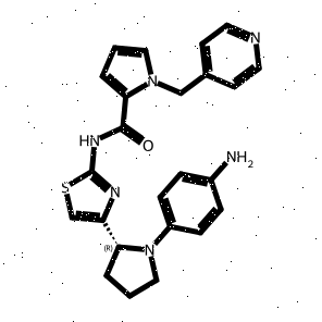 Nc1ccc(N2CCC[C@@H]2c2csc(NC(=O)c3cccn3Cc3ccncc3)n2)cc1